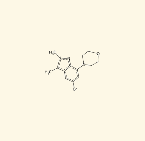 Cc1c2cc(Br)cc(N3CCOCC3)c2nn1C